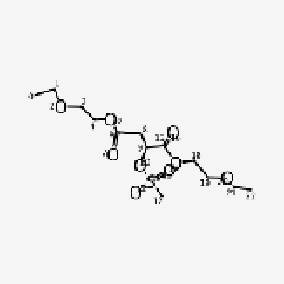 CCOCCOC(=O)CC(OS(C)(=O)=O)C(=O)OCCOCC